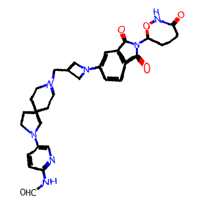 O=CNc1ccc(N2CCC3(CCN(CC4CN(c5ccc6c(c5)C(=O)N(C5CCC(=O)NO5)C6=O)C4)CC3)C2)cn1